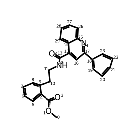 COC(=O)c1ccccc1CCNC(=O)c1cc(-c2ccccc2)nc2ccccc12